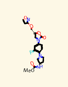 COC(=O)N[C@H]1CCN(c2ccc(N3C[C@H](COc4ccon4)OC3=O)cc2F)C1